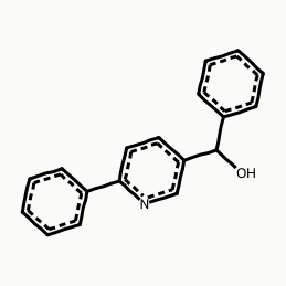 OC(c1ccccc1)c1ccc(-c2ccccc2)nc1